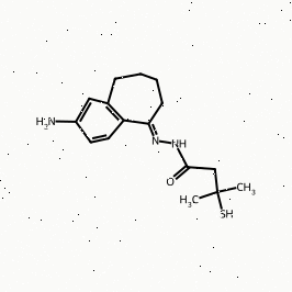 CC(C)(S)CC(=O)NN=C1CCCCc2cc(N)ccc21